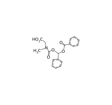 CN(CC(=O)O)C(=O)OC(OC(=O)c1ccccc1)c1ccccc1